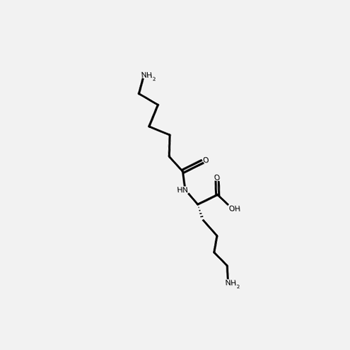 NCCCCCC(=O)N[C@@H](CCCCN)C(=O)O